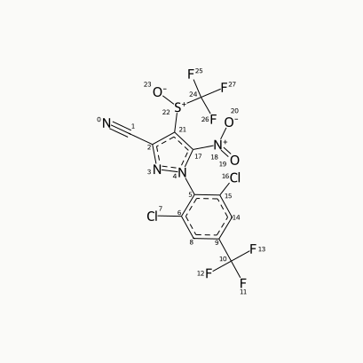 N#Cc1nn(-c2c(Cl)cc(C(F)(F)F)cc2Cl)c([N+](=O)[O-])c1[S+]([O-])C(F)(F)F